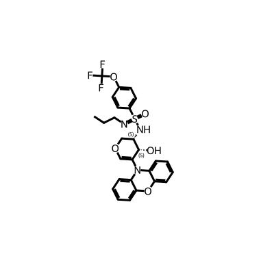 CCCN=S(=O)(N[C@H]1COC=C(N2c3ccccc3Oc3ccccc32)[C@H]1O)c1ccc(OC(F)(F)F)cc1